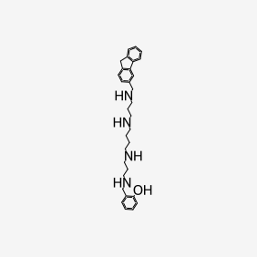 Oc1ccccc1CNCCCNCCCCNCCCNCc1ccc2c(c1)-c1ccccc1C2